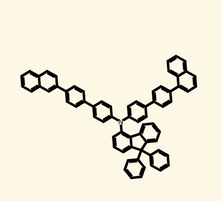 c1ccc(C2(c3ccccc3)c3ccccc3-c3c(N(c4ccc(-c5ccc(-c6ccc7ccccc7c6)cc5)cc4)c4ccc(-c5ccc(-c6cccc7ccccc67)cc5)cc4)cccc32)cc1